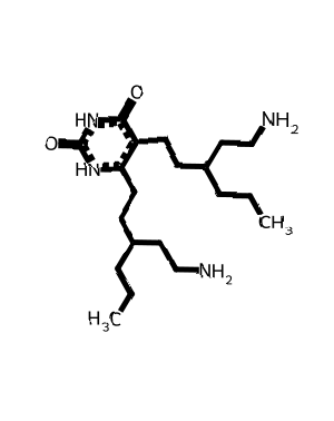 CCCC(CCN)CCc1[nH]c(=O)[nH]c(=O)c1CCC(CCC)CCN